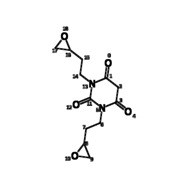 O=C1CC(=O)N(CCC2CO2)C(=O)N1CCC1CO1